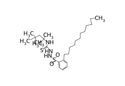 CCCCCCCCCCCCc1ccccc1S(=O)(=O)NNC(=S)NC(C)(C)CC(C)(C)C